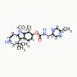 CCOC(=O)n1c2c(c3ccc(OC(=O)NCc4cnc(C)cn4)cc31)C(C)(C)CNC=C2